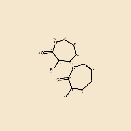 CC1CCCCOC1=O.CCC1CCCCOC1=O